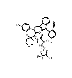 CN[C@@H](C)C(=O)N[C@@H]1C(=O)N(Cc2nn(-c3ccccc3C#N)c3ccccc23)c2ccc(Br)cc2OC12CCOCC2.O=C(O)C(F)(F)F